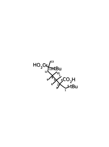 CC(C)(C)CC(C)(C(=O)O)C(C)(C)C(C)(C)CC(C)(C(=O)O)C(C)(C)C